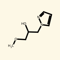 COCC(O)Cn1cccn1